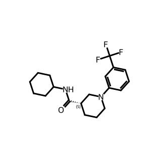 O=C(NC1CCCCC1)[C@H]1CCCN(c2cccc(C(F)(F)F)c2)C1